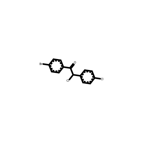 O=C(c1ccc(Br)cc1)C(Cl)c1ccc(Cl)cc1